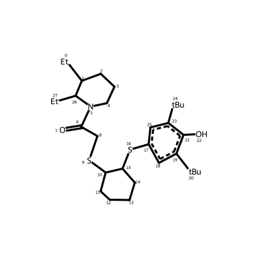 CCC1CCCN(C(=O)CSC2CCCCC2Sc2cc(C(C)(C)C)c(O)c(C(C)(C)C)c2)C1CC